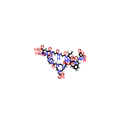 CC[C@H](C)[C@H](NC(=O)CCNC(=O)CCNC(=O)[C@H](CC(C(=O)O)C(=O)O)NC(=O)CN1CCN(C(=O)CN2CCN(CC(=O)O)CCN(CC(=O)O)CC2)CC1)C(=O)N[C@H]1CCc2cccc3c2N(C1=O)[C@H](C(=O)NC1CC(=O)OC1O)C3